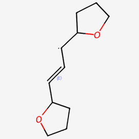 [CH](/C=C/C1CCCO1)C1CCCO1